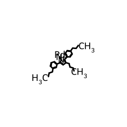 CCCCC1=C(c2ccc(CCCC)cc2)[N+](=[N-])C(c2cccc(CCCC)c2)=C1.[Pd]